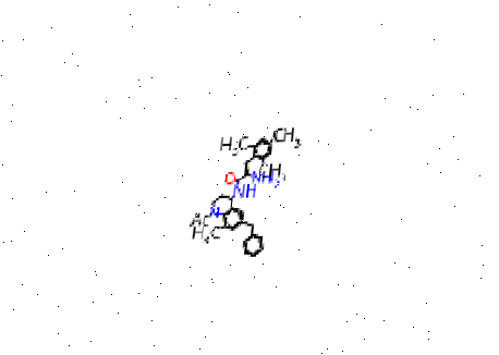 CC(=O)N1CCC(NC(=O)C(N)Cc2c(C)cc(C)cc2C)c2cc(Cc3ccccc3)cc(C)c21